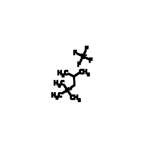 CC(C)C[N+](C)(C)C.F[B-](F)(F)F